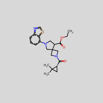 CCOC(=O)C1CN(c2cccc3ncsc23)CC12CN(C(=O)[C@H]1CC1(C)C)C2